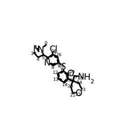 CN1N=CCC1c1ncc(Sc2cccc(C3(C(N)=O)CCOCC3)c2)cc1Cl